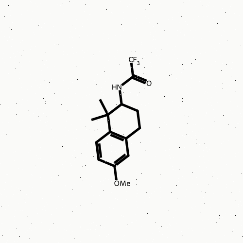 COc1ccc2c(c1)CCC(NC(=O)C(F)(F)F)C2(C)C